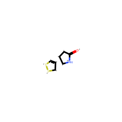 C1=CSSC1.O=C1CCCN1